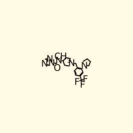 CN(C(=O)n1cncn1)C1CCN(Cc2ccc(C(F)(F)F)cc2N2CCCC2)CC1